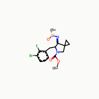 CC(C)(C)OC(=O)N1CC2(CC2)/C(=N/[S@+]([O-])C(C)(C)C)C1Cc1cccc(Br)c1F